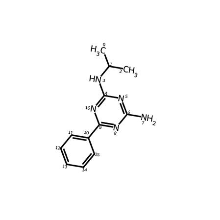 CC(C)Nc1nc(N)nc(-c2ccccc2)n1